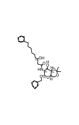 CC1(C)OC[C@H]2O[C@@H](OCc3ccccc3)[C@H](NC(=O)C[C@@H](O)CCCCCCc3ccccc3)[C@@H](O)[C@@H]2O1